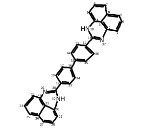 c1cc2c3c(cccc3c1)NC(c1ccc(-c3ccc(C4=Nc5cccc6cccc(c56)N4)cc3)cc1)=N2